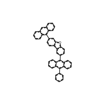 c1ccc(-c2c3ccccc3c(-c3ccc4oc5cc(-c6c7ccccc7cc7ccccc67)ccc5c4c3)c3ccccc23)cc1